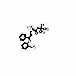 CN(CCC(Oc1ccccc1N)c1ccccc1)C(=O)OC(C)(C)C